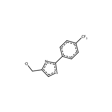 [O]Cc1csc(-c2ccc(C(F)(F)F)cc2)n1